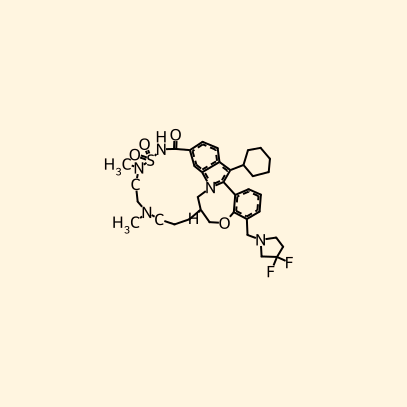 CN1CCC[C@H]2COc3c(CN4CCC(F)(F)C4)cccc3-c3c(C4CCCCC4)c4ccc(cc4n3C2)C(=O)NS(=O)(=O)N(C)CC1